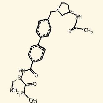 CC(=O)N[C@@H]1CCN(Cc2ccc(-c3ccc(C(=O)N[C@@H](CN)C(=O)NO)cc3)cc2)C1